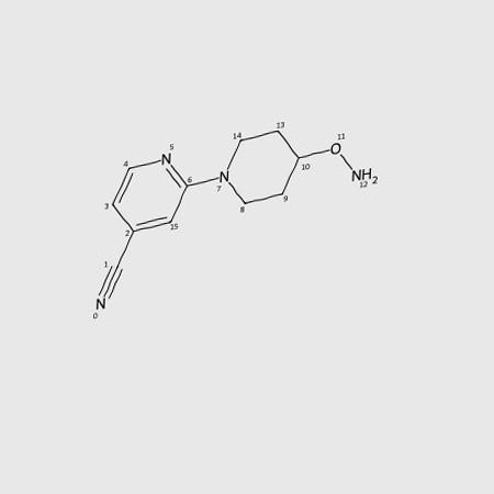 N#Cc1ccnc(N2CCC(ON)CC2)c1